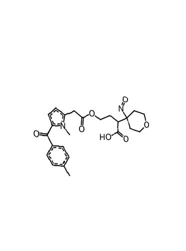 Cc1ccc(C(=O)c2ccc(CC(=O)OCCC(C(=O)O)C3(N=O)CCOCC3)n2C)cc1